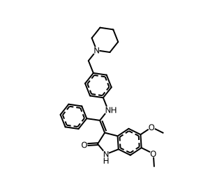 COc1cc2c(cc1OC)C(=C(Nc1ccc(CN3CCCCC3)cc1)c1ccccc1)C(=O)N2